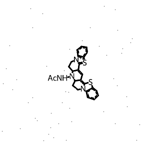 CC(=O)NN1C2CC[n+]3c(sc4ccccc43)C2=CC2=C3Sc4ccccc4N3CCC21